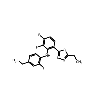 CCc1ccc(Nc2c(-c3nnc(CC)o3)ccc(F)c2F)c(F)c1